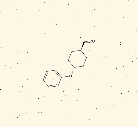 O=C[C@H]1CC[C@H](Oc2ccccc2)CC1